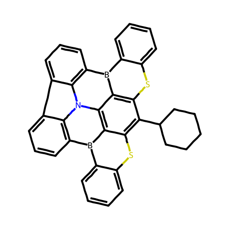 c1ccc2c(c1)Sc1c3c4c5c(c1C1CCCCC1)Sc1ccccc1B5c1cccc5c6cccc(c6n-4c15)B23